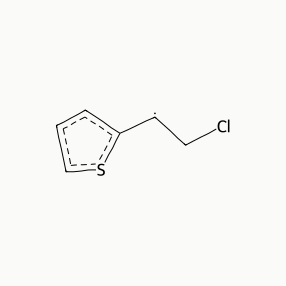 ClC[CH]c1cccs1